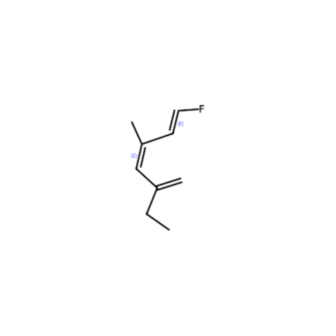 C=C(/C=C(C)\C=C\F)CC